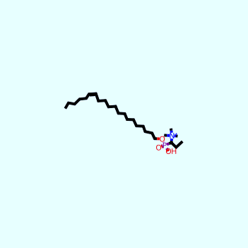 CCCCC/C=C\CCCCCCCCCCCCCOP(=O)(O)C(CC)[N+](C)(C)C